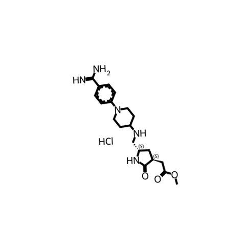 COC(=O)C[C@@H]1C[C@@H](CNC2CCN(c3ccc(C(=N)N)cc3)CC2)NC1=O.Cl